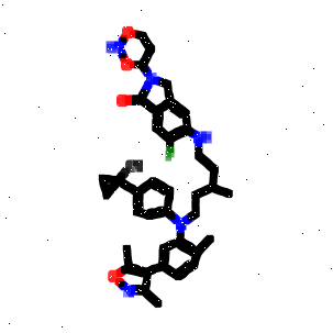 Cc1ccc(-c2c(C)noc2C)cc1N(CCC(C)CCNc1cc2c(cc1F)C(=O)N(C1CCONO1)C2)c1ccc(C2(C#N)CC2)cc1